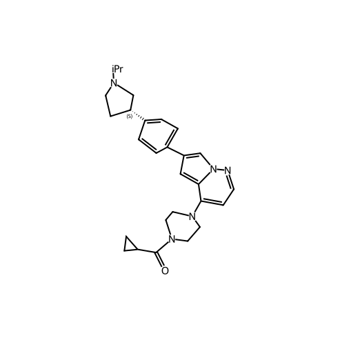 CC(C)N1CC[C@@H](c2ccc(-c3cc4c(N5CCN(C(=O)C6CC6)CC5)ccnn4c3)cc2)C1